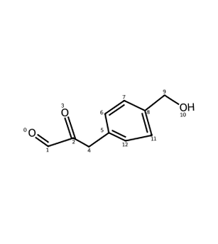 O=CC(=O)Cc1ccc(CO)cc1